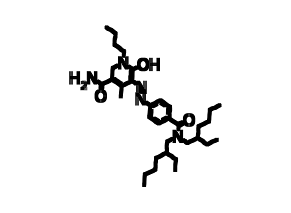 CCCCC(CC)CN(CC(CC)CCCC)C(=O)c1ccc(/N=N/C2=C(O)N(CCCC)CC(C(N)=O)=C2C)cc1